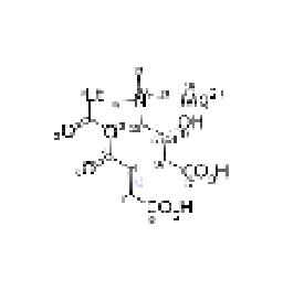 CCC(=O)OC(=O)/C=C/C(=O)O.C[N+](C)(C)C[C@H](O)CC(=O)O.[Mg+2]